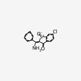 NC(=C1C(=O)c2ccc(Cl)cc2[S+]1[O-])c1ccccc1